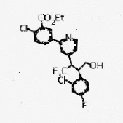 CCOC(=O)c1cc(-c2cc(C(C(CO)c3ccc(F)cc3Cl)C(F)(F)F)ccn2)ccc1Cl